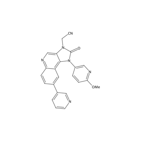 COc1ccc(-n2c(=O)n(CC#N)c3cnc4ccc(-c5cccnc5)cc4c32)cn1